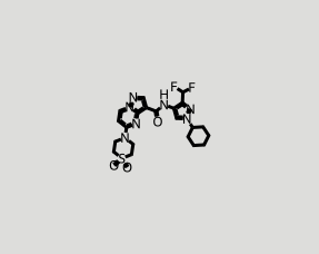 O=C(Nc1cn(C2CCCCC2)nc1C(F)F)c1cnn2ccc(N3CCS(=O)(=O)CC3)nc12